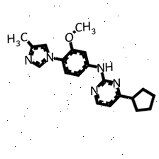 COc1cc(Nc2nccc(C3CCCC3)n2)ccc1-n1cnc(C)c1